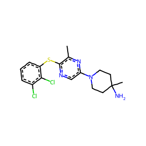 Cc1nc(N2CCC(C)(N)CC2)cnc1Sc1cccc(Cl)c1Cl